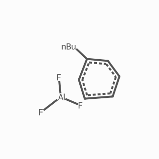 [CH2]CCCc1ccccc1.[F][Al]([F])[F]